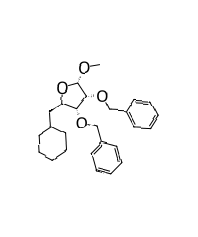 CO[C@H]1O[C@H](CC2CCCCC2)[C@@H](OCc2ccccc2)[C@H]1OCc1ccccc1